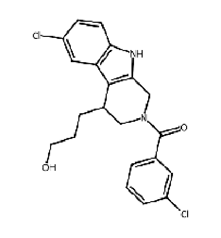 O=C(c1cccc(Cl)c1)N1Cc2[nH]c3ccc(Cl)cc3c2C(CCCO)C1